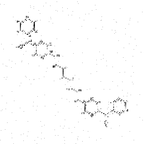 O=C(c1ccccc1)c1ccc(CCCCCCCCc2ccc(C(=O)c3ccccc3)cc2)cc1